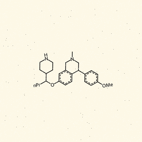 CCCC(Oc1ccc2c(c1)CN(C)CC2c1ccc(OC)cc1)C1CCNCC1